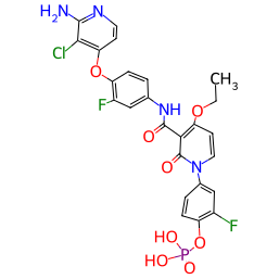 CCOc1ccn(-c2ccc(OP(=O)(O)O)c(F)c2)c(=O)c1C(=O)Nc1ccc(Oc2ccnc(N)c2Cl)c(F)c1